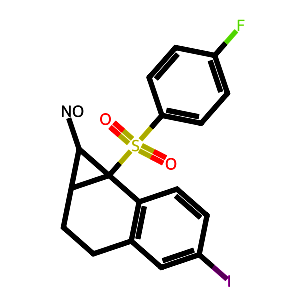 O=NC1C2CCc3cc(I)ccc3C21S(=O)(=O)c1ccc(F)cc1